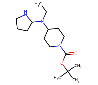 CCN(C1CCN(C(=O)OC(C)(C)C)CC1)C1CCCN1